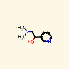 [CH2]N(C)CC(O)c1cccnc1